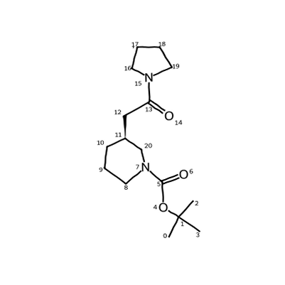 CC(C)(C)OC(=O)N1CCC[C@@H](CC(=O)N2C[CH]CC2)C1